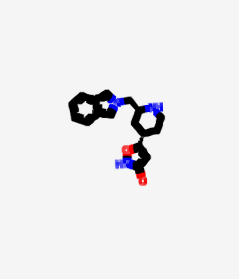 O=c1cc([C@H]2CCN[C@H](Cn3cc4ccccc4c3)C2)o[nH]1